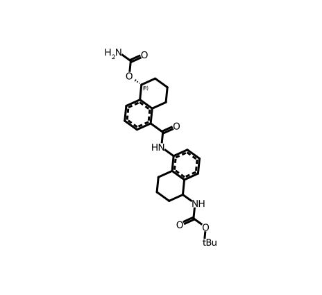 CC(C)(C)OC(=O)NC1CCCc2c(NC(=O)c3cccc4c3CCC[C@H]4OC(N)=O)cccc21